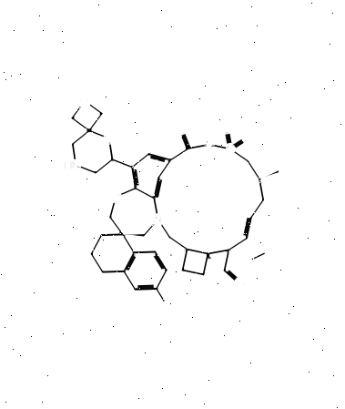 CO[C@@]1(C=O)/C=C/C[C@H](C)[C@@H](C)S(=O)(=O)NC(=O)c2cc(C3CNCC4(COC4)O3)c3c(c2)N(C[C@@H]2CC[C@H]21)C[C@@]1(CCCc2cc(Cl)ccc21)CO3